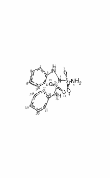 NS(=O)(=O)N(Nc1ccccc1)S(=O)(=O)Nc1ccccc1